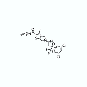 C#CCNC(=O)c1sc2c(c1C)CN(C1=NOC(c3cc(Cl)cc(Cl)c3)(C(F)(F)F)C1)C2